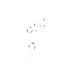 CC1(N2C(=O)c3cccc(OCc4ccc(CN5CCOCC5)cc4)c3C2=O)CCC(=O)NC1=O